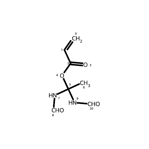 C=CC(=O)OC(C)(NC=O)NC=O